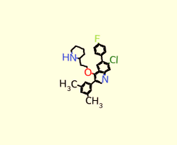 Cc1cc(C)cc(-c2cnc3cc(Cl)c(-c4ccc(F)cc4)cc3c2OCCC2CCCCN2)c1